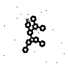 FC(F)(F)c1ccc(-c2ccc(-n3c4ccc(-c5ccccc5)cc4c4cc(-c5ccccc5)ccc43)cc2-c2nc(-c3ccccc3)nc(-c3ccccc3)n2)cc1